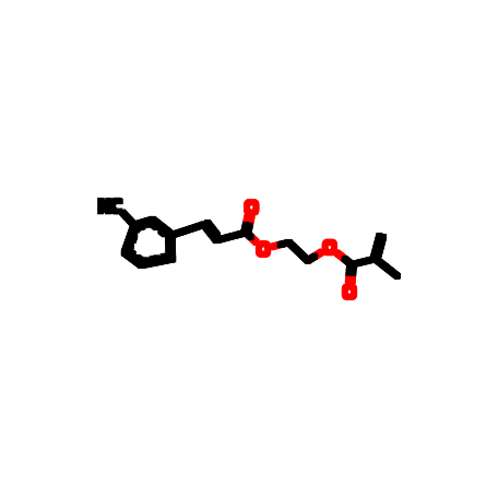 C=C(C)C(=O)OCCOC(=O)/C=C/c1cccc(C#N)c1